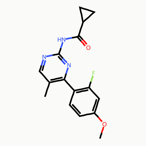 COc1ccc(-c2nc(NC(=O)C3CC3)ncc2C)c(F)c1